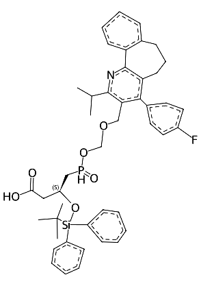 CC(C)c1nc2c(c(-c3ccc(F)cc3)c1COCO[PH](=O)C[C@H](CC(=O)O)O[Si](c1ccccc1)(c1ccccc1)C(C)(C)C)CCCc1ccccc1-2